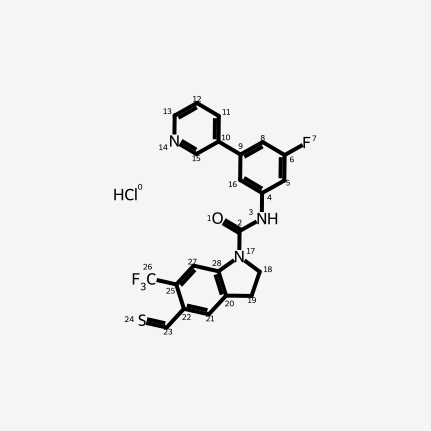 Cl.O=C(Nc1cc(F)cc(-c2cccnc2)c1)N1CCc2cc(C=S)c(C(F)(F)F)cc21